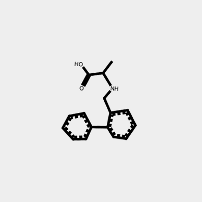 CC(NCc1ccccc1-c1ccccc1)C(=O)O